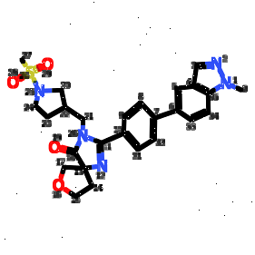 Cn1ncc2cc(-c3ccc(C4=NC5(CCOC5)C(=O)N4CC4CCN(S(C)(=O)=O)C4)cc3)ccc21